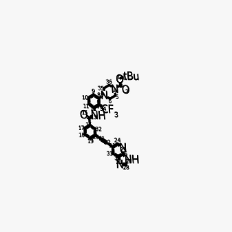 CC(C)(C)OC(=O)N1CCN(c2cccc(NC(=O)c3cccc(C#Cc4cnc5[nH]cnc5c4)c3)c2C(F)(F)F)CC1